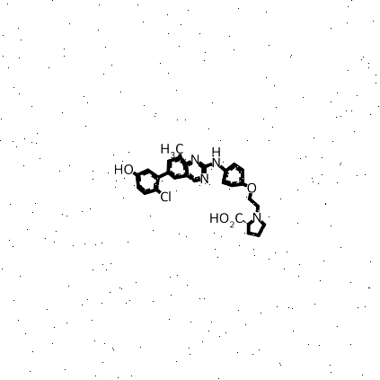 Cc1cc(-c2cc(O)ccc2Cl)cc2cnc(Nc3ccc(OCCN4CCC[C@@H]4C(=O)O)cc3)nc12